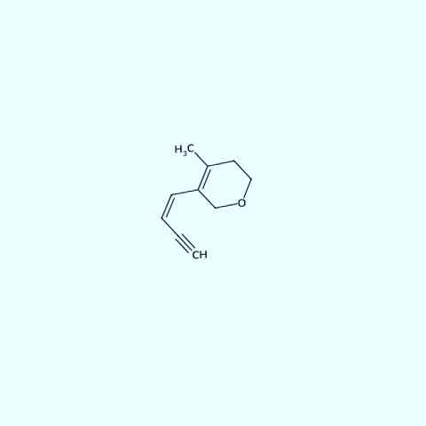 C#C/C=C\C1=C(C)CCOC1